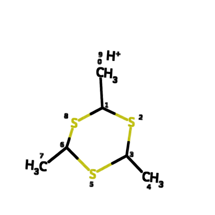 CC1SC(C)SC(C)S1.[H+]